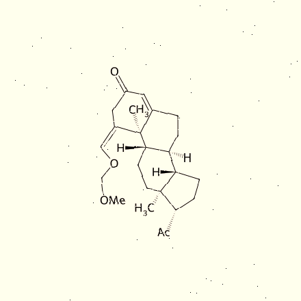 COCO/C=C1/CC(=O)C=C2CC[C@H]3[C@@H]4CC[C@H](C(C)=O)[C@@]4(C)CC[C@@H]3[C@]21C